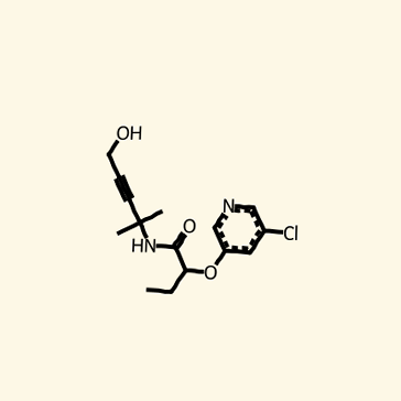 CCC(Oc1cncc(Cl)c1)C(=O)NC(C)(C)C#CCO